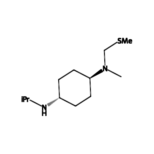 CSCN(C)[C@H]1CC[C@H](NC(C)C)CC1